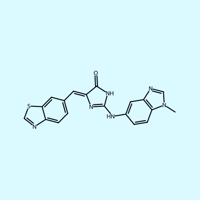 Cn1cnc2cc(NC3=N/C(=C\c4ccc5ncsc5c4)C(=O)N3)ccc21